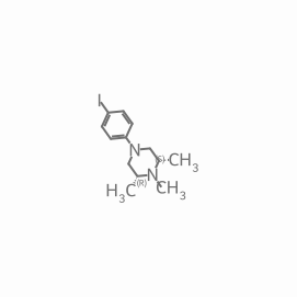 C[C@@H]1CN(c2ccc(I)cc2)C[C@H](C)N1C